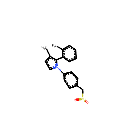 Cc1ccn(-c2ccc(C[SH](=O)=O)cc2)c1-c1ccccc1C(F)(F)F